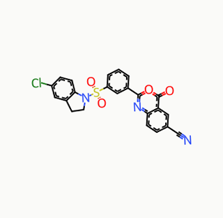 N#Cc1ccc2nc(-c3cccc(S(=O)(=O)N4CCc5cc(Cl)ccc54)c3)oc(=O)c2c1